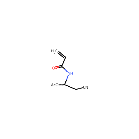 C=CC(=O)NC(CC#N)OC(C)=O